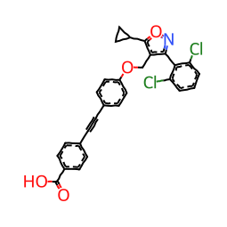 O=C(O)c1ccc(C#Cc2ccc(OCc3c(-c4c(Cl)cccc4Cl)noc3C3CC3)cc2)cc1